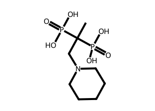 CC(CN1CCCCC1)(P(=O)(O)O)P(=O)(O)O